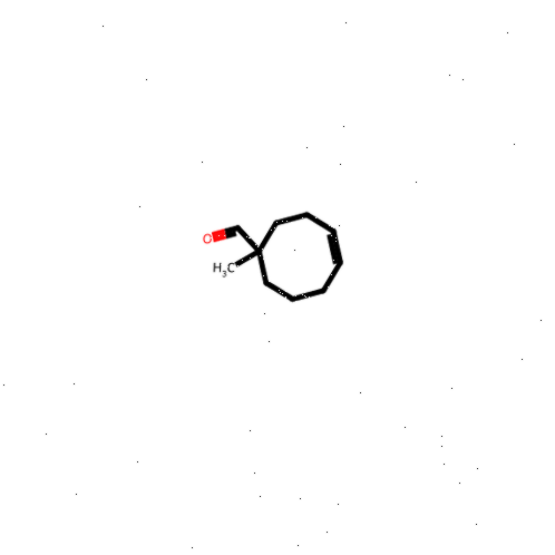 CC1(C=O)CCC=CCCC1